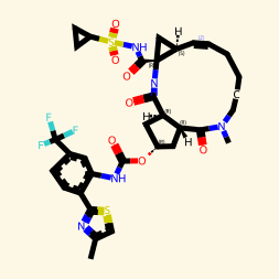 Cc1csc(-c2ccc(C(F)(F)F)cc2NC(=O)O[C@@H]2C[C@H]3C(=O)N[C@]4(C(=O)NS(=O)(=O)C5CC5)C[C@H]4/C=C\CCCCN(C)C(=O)[C@@H]3C2)n1